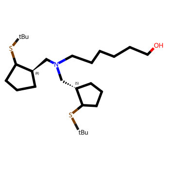 CC(C)(C)SC1CCC[C@@H]1CN(CCCCCCO)C[C@@H]1CCCC1SC(C)(C)C